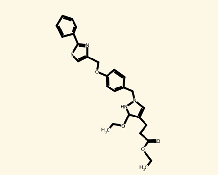 CCOC(=O)CCC1=CN(Cc2ccc(OCc3csc(-c4ccccc4)n3)cc2)NC1OCC